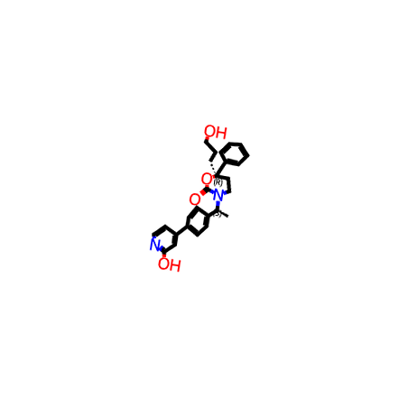 C[C@@H](c1ccc(-c2ccnc(O)c2)cc1)N1CC[C@](CCCO)(c2ccccc2)OC1=O